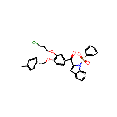 Cc1ccc(COc2ccc(C(=O)c3cc4ccccc4n3S(=O)(=O)c3ccccc3)cc2OCCCCl)cc1